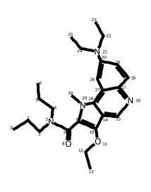 CCCN(CCC)C(=O)c1c(OCC)c2cnc3ccc(N(CC)CC)cc3c2n1C